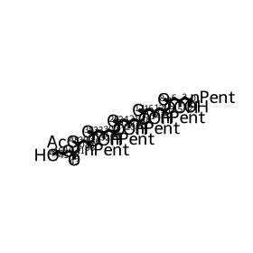 CCCCCC(O)CC(O)CC(=O)OC(CCCCC)CC(O)CC(=O)OC(CCCCC)CC(O)CC(=O)OC(CCCCC)CC(O)CC(=O)OC(CCCCC)CC(CC(=O)OCCO)OC(C)=O